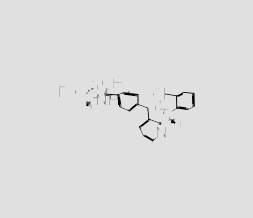 C[C@H](NS(=O)(=O)C(F)(F)F)c1ccc(Cc2cccnc2S(=O)(=O)c2ccccc2Cl)cc1